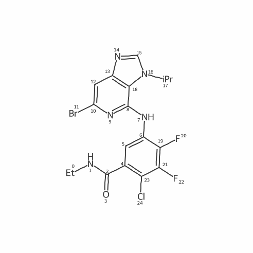 CCNC(=O)c1cc(Nc2nc(Br)cc3ncn(C(C)C)c23)c(F)c(F)c1Cl